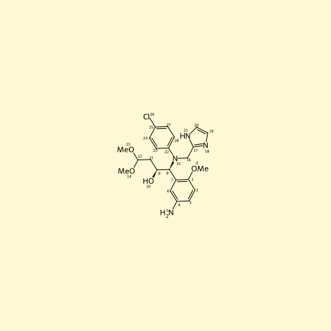 COc1ccc(N)cc1[C@@H]([C@@H](O)CC(OC)OC)N(Cc1ncc[nH]1)c1ccc(Cl)cc1